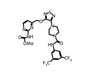 COC(=O)Nc1nccc(COc2nsnc2N2CCN(C(=O)Nc3cc(C(F)(F)F)cc(C(F)(F)F)c3)CC2)n1